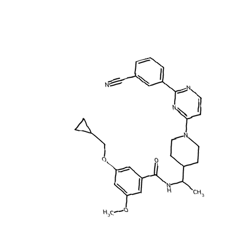 COc1cc(OCC2CC2)cc(C(=O)NC(C)C2CCN(c3ccnc(-c4cccc(C#N)c4)n3)CC2)c1